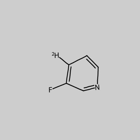 [2H]c1ccncc1F